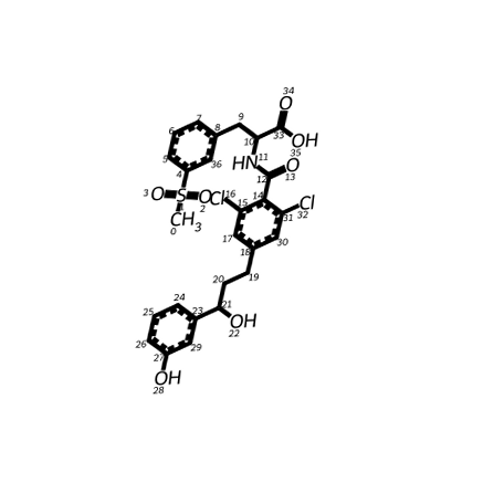 CS(=O)(=O)c1cccc(CC(NC(=O)c2c(Cl)cc(CCC(O)c3cccc(O)c3)cc2Cl)C(=O)O)c1